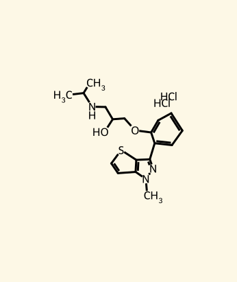 CC(C)NCC(O)COc1ccccc1-c1nn(C)c2ccsc12.Cl.Cl